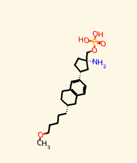 COCCCCC[C@@H]1CCc2cc([C@@H]3CC[C@@](N)(COP(=O)(O)O)C3)ccc2C1